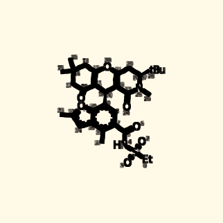 CCS(=O)(=O)NC(=O)c1cc([C@H]2C3=C(CC(C)(C)CC3=O)OC3=C2C(=O)N(C)[C@H](C(C)(C)C)C3)c2oc(C)cc2c1C